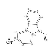 C=Cn1c2ccccc2c2cc(N=O)ccc21